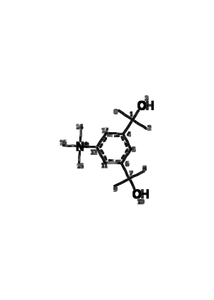 CC(C)(O)c1cc(C(C)(C)O)cc([N+](C)(C)C)c1